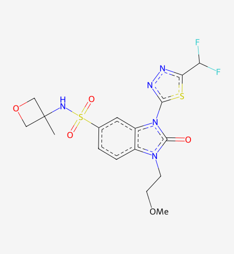 COCCn1c(=O)n(-c2nnc(C(F)F)s2)c2cc(S(=O)(=O)NC3(C)COC3)ccc21